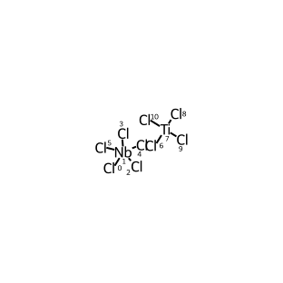 [Cl][Nb]([Cl])([Cl])([Cl])[Cl].[Cl][Ti]([Cl])([Cl])[Cl]